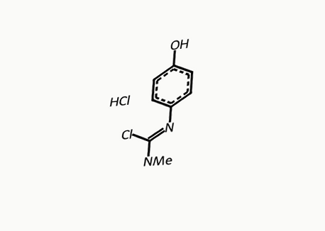 CNC(Cl)=Nc1ccc(O)cc1.Cl